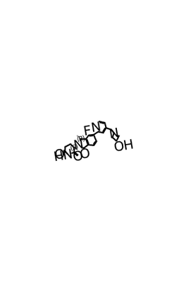 C[C@@H]1c2c(ccc(-c3cc(CN4CC(O)C4)ccn3)c2F)C(=O)N1[C@H]1CCC(=O)NC1=O